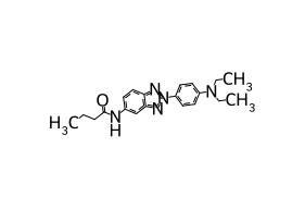 CCCC(=O)Nc1ccc2nn(-c3ccc(N(CC)CC)cc3)nc2c1